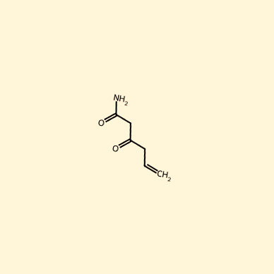 C=CCC(=O)CC(N)=O